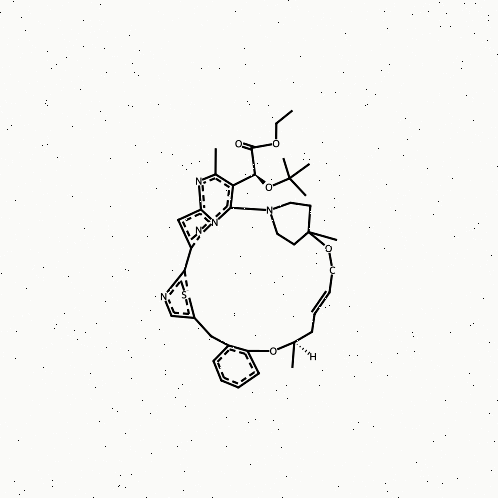 CCOC(=O)[C@@H](OC(C)(C)C)c1c(C)nc2cc3nn2c1N1CCC(C)(CC1)OC/C=C/C[C@@H](C)Oc1ccccc1Cc1cnc-3s1